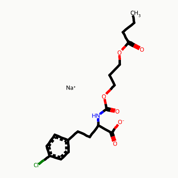 CCCC(=O)OCCCOC(=O)NC(CCc1ccc(Cl)cc1)C(=O)[O-].[Na+]